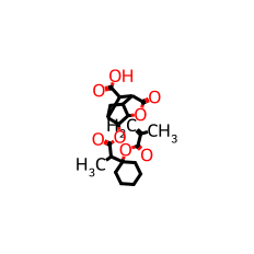 C=C(C)C(=O)OC1(C(C)C(=O)OC2C3CC4C2OC(=O)C4C3C(=O)O)CCCCC1